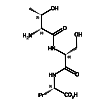 CC(C)[C@H](NC(=O)[C@@H](CO)NC(=O)[C@H](N)[C@H](C)O)C(=O)O